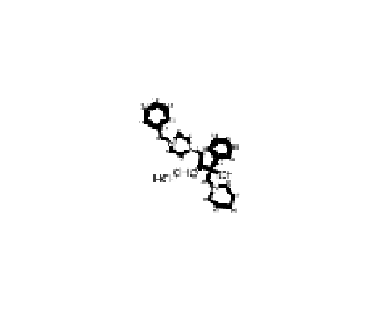 Cl.Cl.O=C(CN1CCN(Cc2ccccc2)CC1)C(O)(CN1CCCCC1)c1ccccc1